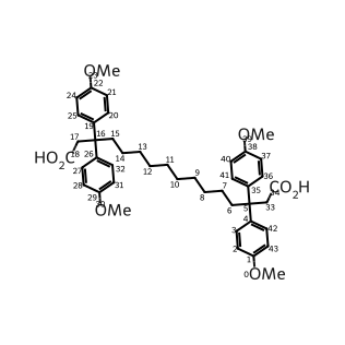 COc1ccc(C(CCCCCCCCCCC(CC(=O)O)(c2ccc(OC)cc2)c2ccc(OC)cc2)(CC(=O)O)c2ccc(OC)cc2)cc1